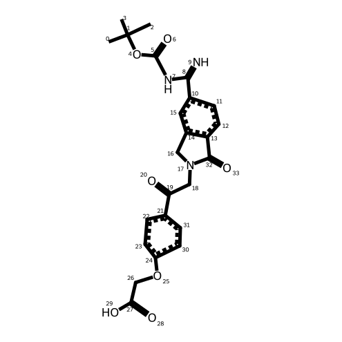 CC(C)(C)OC(=O)NC(=N)c1ccc2c(c1)CN(CC(=O)c1ccc(OCC(=O)O)cc1)C2=O